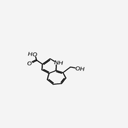 O=C(O)C1=CNC2=C(CO)C=CC=CC2=C1